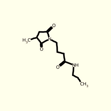 CCCNC(=O)CCCN1C(=O)CC(C)C1=O